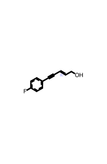 OC/C=C/C#Cc1ccc(F)cc1